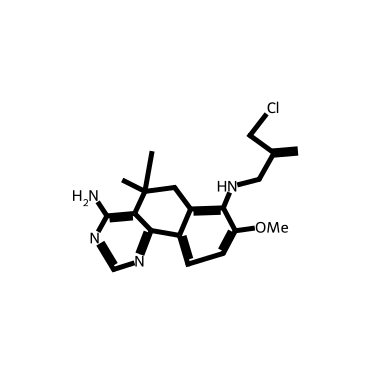 C=C(CCl)CNc1c(OC)ccc2c1CC(C)(C)c1c(N)ncnc1-2